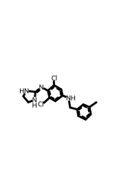 Cc1cccc(CNc2cc(Cl)c(N=C3NCCN3)c(Cl)c2)c1